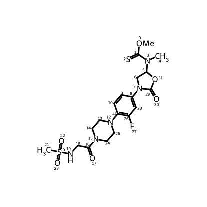 COC(=S)N(C)C1CN(c2ccc(N3CCN(C(=O)CNS(C)(=O)=O)CC3)c(F)c2)C(=O)O1